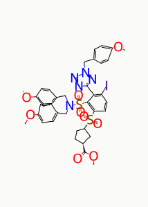 COC(=O)[C@H]1CC[C@@H](S(=O)(=O)c2ccc(I)c(-c3nnn(Cc4ccc(OC)cc4)n3)c2S(=O)(=O)N(Cc2ccc(OC)cc2)Cc2ccc(OC)cc2)C1